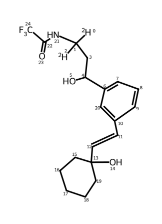 [2H]C([2H])(CC(O)c1cccc(C=CC2(O)CCCCC2)c1)NC(=O)C(F)(F)F